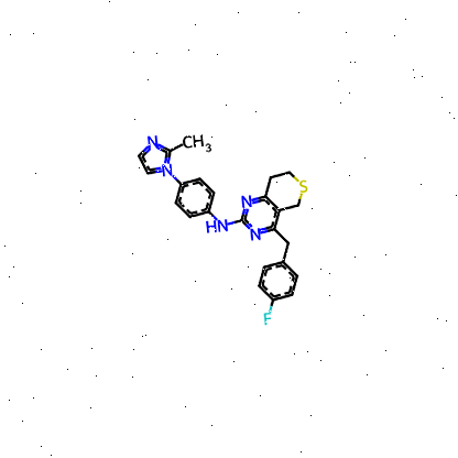 Cc1nccn1-c1ccc(Nc2nc3c(c(Cc4ccc(F)cc4)n2)CSCC3)cc1